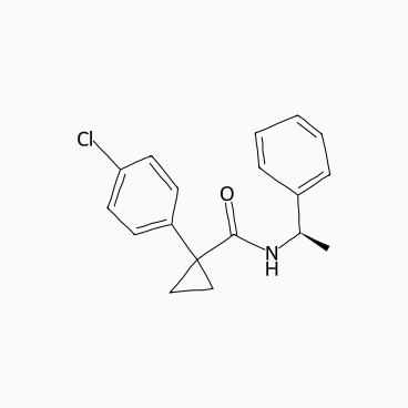 C[C@@H](NC(=O)C1(c2ccc(Cl)cc2)CC1)c1ccccc1